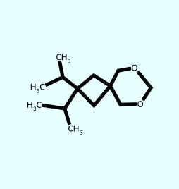 CC(C)C1(C(C)C)CC2(COCOC2)C1